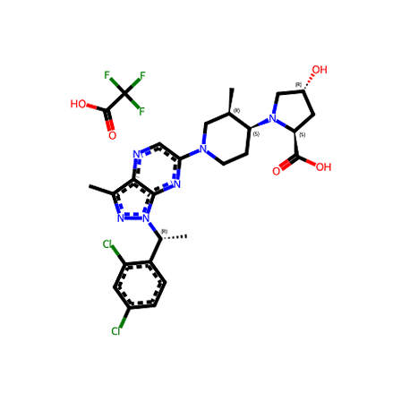 Cc1nn([C@H](C)c2ccc(Cl)cc2Cl)c2nc(N3CC[C@H](N4C[C@H](O)C[C@H]4C(=O)O)[C@H](C)C3)cnc12.O=C(O)C(F)(F)F